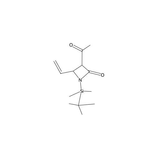 C=CC1C(C(C)=O)C(=O)N1[Si](C)(C)C(C)(C)C